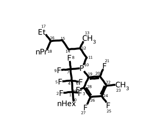 CCCCCCC(F)(F)C(F)(F)C(F)(F)P(CC(C)CCC(CC)CCC)c1c(F)c(C)c(F)c(F)c1F